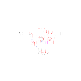 COc1cc(/C=C/C(=O)CC(=O)/C=C/c2ccc(O)c(OC)c2)ccc1O.N[C@H]1C(O)O[C@H](CO)[C@@H](O)[C@@H]1O.O=S(=O)(O)O.Oc1ccc(C=Cc2cc(O)cc(O)c2)cc1